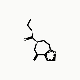 C=C1CN(C(=O)OCC)CCc2sccc21